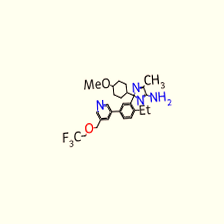 CCc1ccc(-c2cncc(COCC(F)(F)F)c2)cc1C1(C2CCC(OC)CC2)N=C(C)C(N)=N1